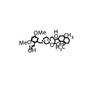 COc1cc(CN2CCN(CC3C(=O)O[C@H]4C5=C(C)CCC[C@]5(C)CCC34O)CC2)c(C=NO)c(OC)c1